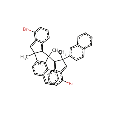 CC(C)(C1=c2cccc(Br)c2=CC1(C)c1ccc2ccccc2c1)C1=c2cccc(Br)c2=CC1(C)c1ccc2ccccc2c1